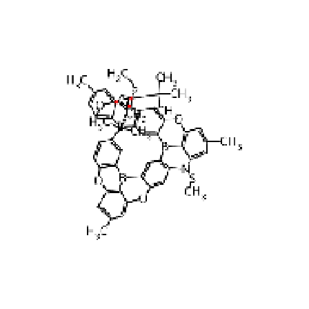 CSN1c2cc3c(cc2B2c4cc5c(cc4Oc4cc(C)cc1c42)N(SC)c1cc(C)cc2c1B5c1cc(C(C)(C)C)ccc1O2)B1c2cc(C(C)(C)C)ccc2Oc2cc(C)cc(c21)O3